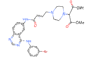 COC(=O)C(C(=O)OC)N1CCN(C/C=C/C(=O)Nc2ccc3ncnc(Nc4cccc(Br)c4)c3c2)CC1